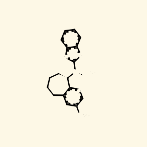 COc1cnc2c(c1)CCCC[C@H]2[S@+]([O-])c1nc2ccccc2[nH]1.[NaH]